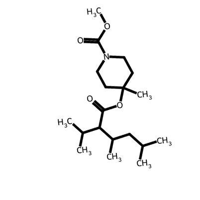 COC(=O)N1CCC(C)(OC(=O)C(C(C)C)C(C)CC(C)C)CC1